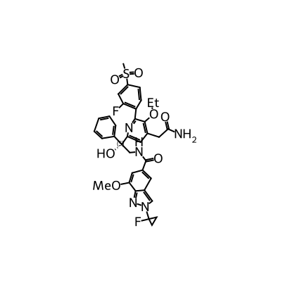 CCOc1c(CC(N)=O)cc([C@@](O)(CNC(=O)c2cc(OC)c3nn(C4(F)CC4)cc3c2)c2ccccc2)nc1-c1ccc(S(C)(=O)=O)cc1F